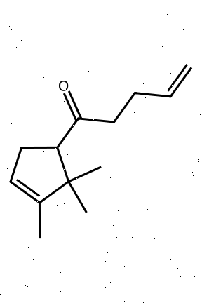 C=CCCC(=O)C1CC=C(C)C1(C)C